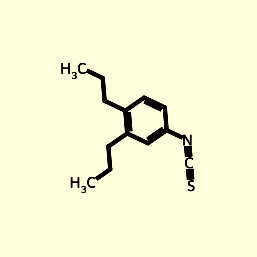 CCCc1ccc(N=C=S)cc1CCC